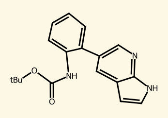 CC(C)(C)OC(=O)Nc1ccccc1-c1cnc2[nH]ccc2c1